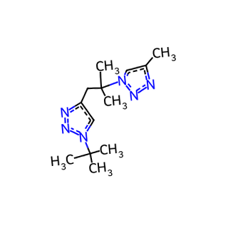 Cc1cn(C(C)(C)Cc2cn(C(C)(C)C)nn2)nn1